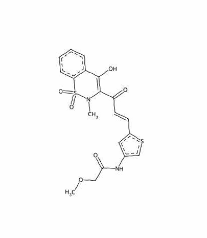 COCC(=O)Nc1csc(/C=C/C(=O)C2=C(O)c3ccccc3S(=O)(=O)N2C)c1